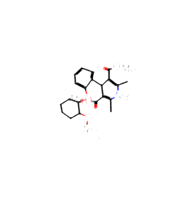 COC(=O)C1=C(C)NC(C)=C(C(=O)OC)C1c1ccccc1OC1CCCCC1O[N+](=O)[O-]